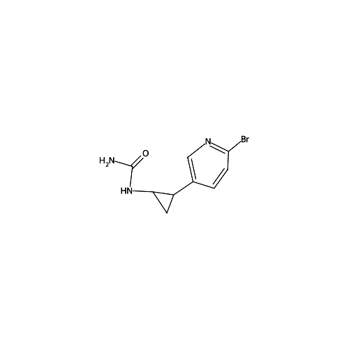 NC(=O)NC1CC1c1ccc(Br)nc1